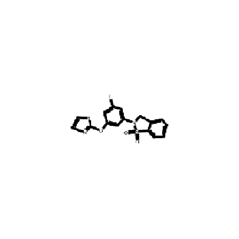 O=S1(=O)c2ccccc2CN1c1cc(F)cc(Oc2nccs2)c1